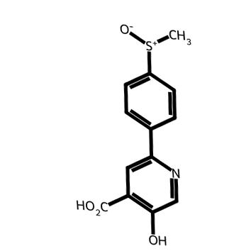 C[S+]([O-])c1ccc(-c2cc(C(=O)O)c(O)cn2)cc1